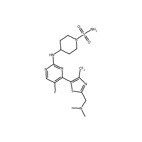 CN(C)Cc1nc(C(F)(F)F)c(-c2nc(NC3CCN(S(N)(=O)=O)CC3)ncc2F)s1